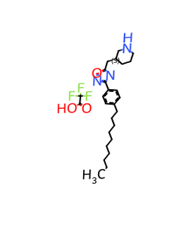 CCCCCCCCCCc1ccc(-c2noc(C[C@@H]3CCCNC3)n2)cc1.O=C(O)C(F)(F)F